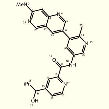 CNc1cc2ncc(-c3cc(NC(=O)c4cc(C(O)C(C)C)ccn4)cnc3C)cc2cn1